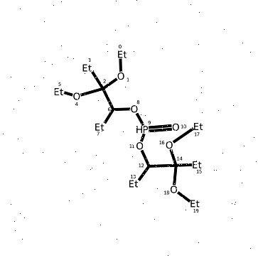 CCOC(CC)(OCC)C(CC)O[PH](=O)OC(CC)C(CC)(OCC)OCC